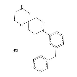 Cl.c1ccc(Cc2cccc(N3CCC4(CC3)CNCCO4)c2)cc1